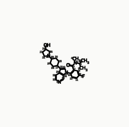 CC(C)N(C)C(=O)c1cc(F)ccc1-n1cc(C2CCC(N3CCC(O)C3)CC2)c2ccncc21